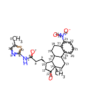 Cc1cnc(NC(=O)CC[C@@H]2CC(=O)[C@@]3(C)CCC4c5cc[c]c([N+](=O)[O-])c5CCC4C23)s1